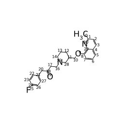 Cc1ccc2cccc(OCC3CCCN(CCC(=O)Cc4ccc(F)cc4)C3)c2n1